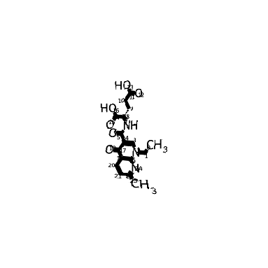 CCn1cc(C(=O)N[C@@H](CCC(=O)O)C(=O)O)c(=O)c2ccc(C)nc21